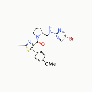 COc1ccc(-c2sc(C)nc2C(=O)N2CCC[C@H]2CNc2ncc(Br)cn2)cc1